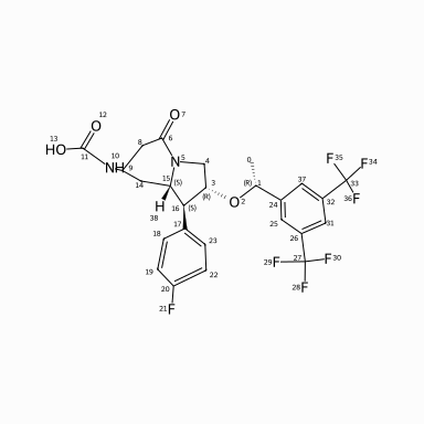 C[C@@H](O[C@H]1CN2C(=O)CC(NC(=O)O)C[C@H]2[C@@H]1c1ccc(F)cc1)c1cc(C(F)(F)F)cc(C(F)(F)F)c1